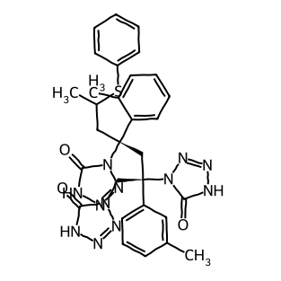 Cc1cccc([C@](Cn2nn[nH]c2=O)(C[C@@](CC(C)Sc2ccccc2)(c2ccccc2C)n2nn[nH]c2=O)n2nn[nH]c2=O)c1